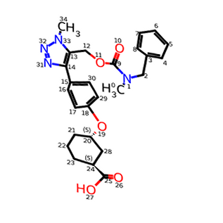 CN(Cc1ccccc1)C(=O)OCc1c(-c2ccc(O[C@H]3CCC[C@H](C(=O)O)C3)cc2)nnn1C